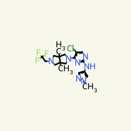 Cn1cc(Nc2ncc(Cl)c(N3CC4(C)CN(CC(F)(F)F)CC4(C)C3)n2)cn1